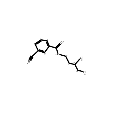 N#Cc1cccc(C(=O)OCCC(Cl)CCl)c1